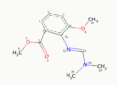 COC(=O)c1cccc(OC)c1N=CN(C)C